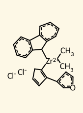 C[C](C)=[Zr+2]([C]1=C(c2ccoc2)C=CC1)[CH]1c2ccccc2-c2ccccc21.[Cl-].[Cl-]